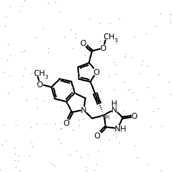 COC(=O)c1ccc(C#C[C@]2(CN3Cc4ccc(OC)cc4C3=O)NC(=O)NC2=O)o1